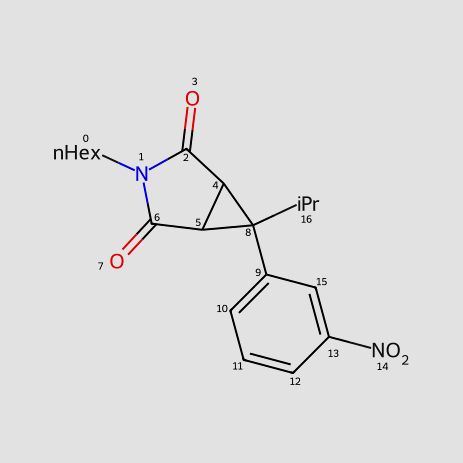 CCCCCCN1C(=O)C2C(C1=O)C2(c1cccc([N+](=O)[O-])c1)C(C)C